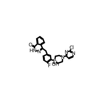 O=c1[nH]nc(Cc2ccc(F)c([P]3(O)CCN(c4ccnc(Cl)n4)CC3)c2)c2ccccc12